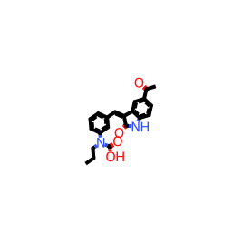 CCCN(C(=O)O)c1cccc(C=C2C(=O)Nc3ccc(C(C)=O)cc32)c1